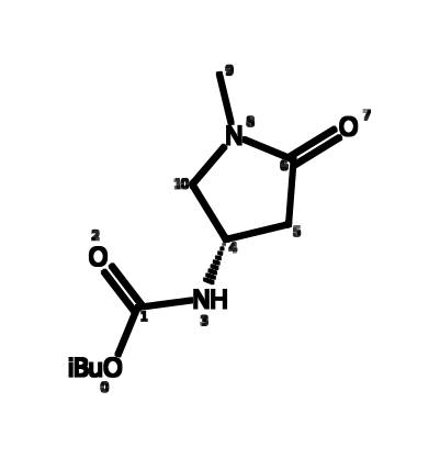 CC(C)COC(=O)N[C@H]1CC(=O)N(C)C1